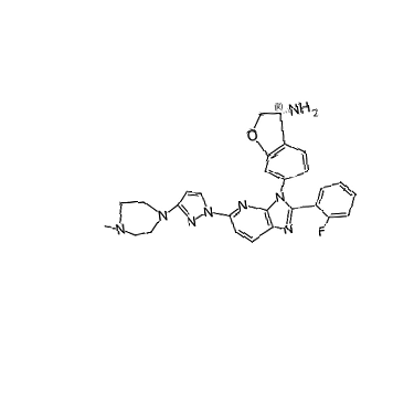 CN1CCN(c2ccn(-c3ccc4nc(-c5ccccc5F)n(-c5ccc6c(c5)OC[C@@H]6N)c4n3)n2)CC1